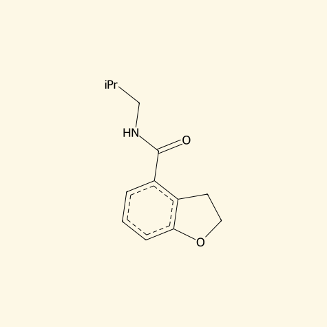 CC(C)CNC(=O)c1cccc2c1CCO2